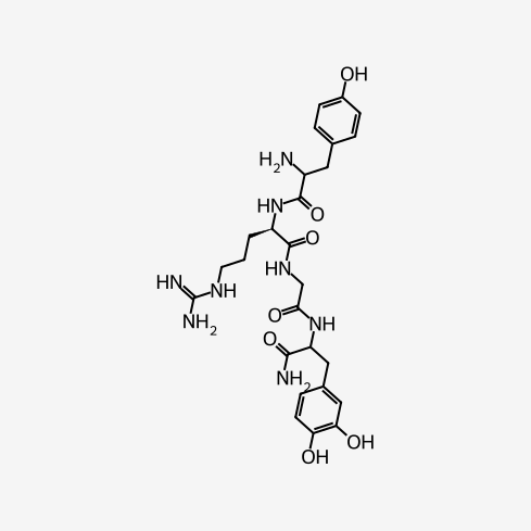 N=C(N)NCCC[C@@H](NC(=O)C(N)Cc1ccc(O)cc1)C(=O)NCC(=O)NC(Cc1ccc(O)c(O)c1)C(N)=O